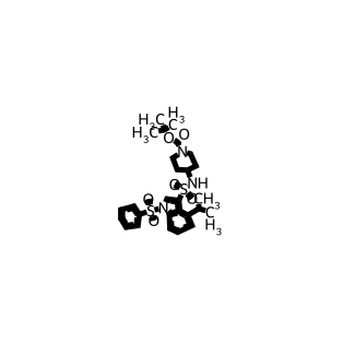 CC(C)c1cccc2c1c(S(=O)(=O)NC1CCN(C(=O)OC(C)(C)C)CC1)cn2S(=O)(=O)c1ccccc1